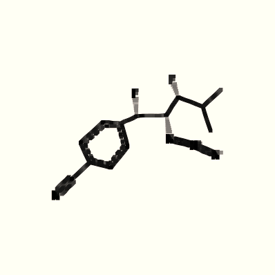 CC(C)[C@@H](F)[C@H](N=[N+]=[N-])[C@@H](F)c1ccc(C#N)cc1